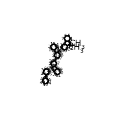 CC1(C)C2CCCCC2C2CC(N3C4CCCCC4C4CC(C5CCC6C(C5)C5CCCCC5N6C5CCCC(C6CCCCC6)C5)CCC43)CCC21